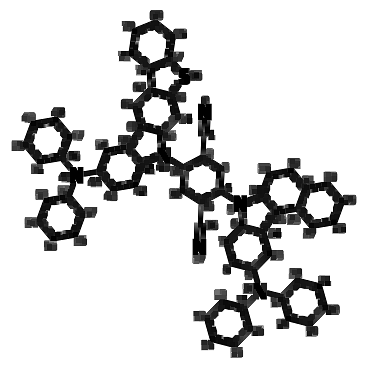 N#Cc1cc(-n2c3ccc(N(c4ccccc4)c4ccccc4)cc3c3c4ccccc4ccc32)c(C#N)cc1-n1c2ccc(N(c3ccccc3)c3ccccc3)cc2c2cc3c(cc21)sc1ccccc13